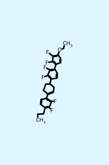 CCCc1ccc(C2=CCC(c3ccc(-c4ccc(OCC)c(F)c4F)c(F)c3F)CC2)c(F)c1F